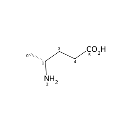 C[C@@H](N)CCC(=O)O